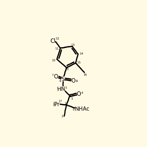 CC(=O)NC(C)(C(=O)NS(=O)(=O)c1cc(Cl)ccc1C)C(C)C